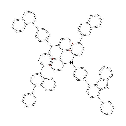 c1ccc(-c2ccc(-c3ccc(N(c4ccc(-c5cccc6ccccc56)cc4)c4ccccc4-c4ccccc4N(c4ccc(-c5ccc6ccccc6c5)cc4)c4ccc(-c5ccc(-c6ccccc6)c6sc7ccccc7c56)cc4)cc3)c3ccccc23)cc1